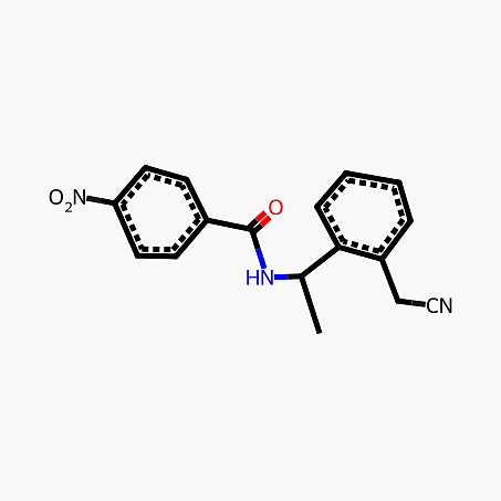 CC(NC(=O)c1ccc([N+](=O)[O-])cc1)c1ccccc1CC#N